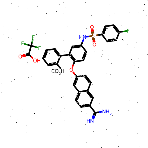 N=C(N)c1ccc2cc(Oc3ccc(NS(=O)(=O)c4ccc(F)cc4)cc3-c3ccccc3C(=O)O)ccc2c1.O=C(O)C(F)(F)F